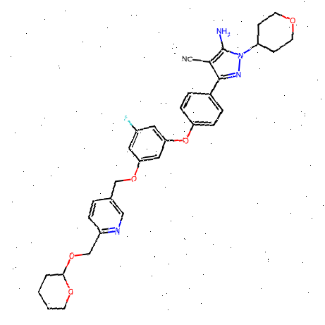 N#Cc1c(-c2ccc(Oc3cc(F)cc(OCc4ccc(COC5CCCCO5)nc4)c3)cc2)nn(C2CCOCC2)c1N